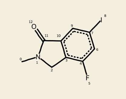 CN1Cc2c(F)cc(I)cc2C1=O